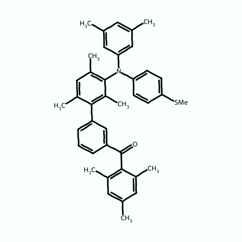 CSc1ccc(N(c2cc(C)cc(C)c2)c2c(C)cc(C)c(-c3cccc(C(=O)c4c(C)cc(C)cc4C)c3)c2C)cc1